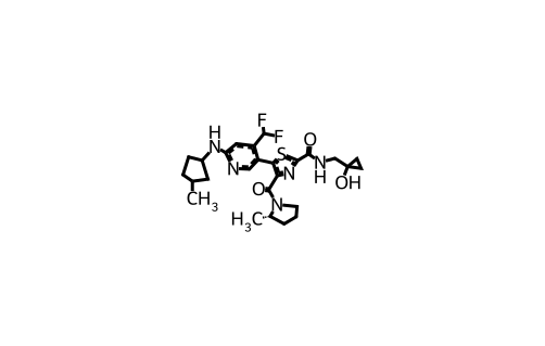 CC1CCC(Nc2cc(C(F)F)c(-c3sc(C(=O)NCC4(O)CC4)nc3C(=O)N3CCC[C@@H]3C)cn2)C1